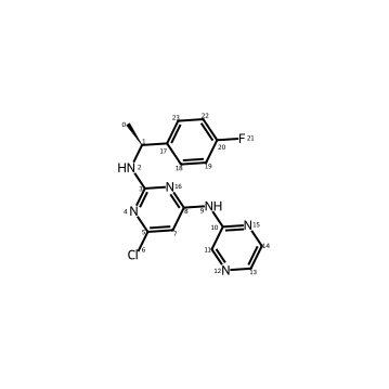 C[C@H](Nc1nc(Cl)cc(Nc2cnccn2)n1)c1ccc(F)cc1